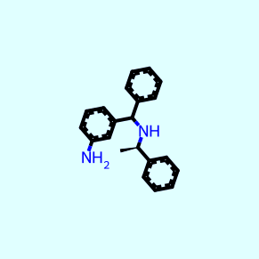 C[C@@H](NC(c1ccccc1)c1cccc(N)c1)c1ccccc1